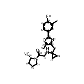 Cc1cc(-c2nc(CC3(NCC(=O)N4CCC[C@H]4C#N)CC3)c(C)o2)ccc1F